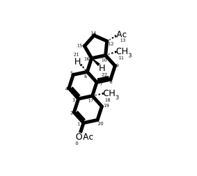 CC(=O)OC1=CC2=CC[C@@H]3C(=CC[C@]4(C)[C@@H](C(C)=O)CC[C@@H]34)[C@@]2(C)CC1